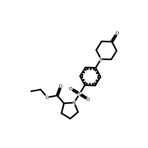 CCOC(=O)C1CCCN1S(=O)(=O)c1ccc(N2CCC(=O)CC2)cc1